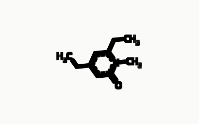 CCc1cc(CC)n(C)c(=O)c1